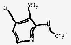 O=C(O)Nc1nccc(Cl)c1[N+](=O)[O-]